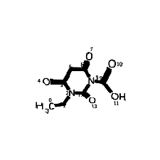 CCN1C(=O)CC(=O)N(C(=O)O)C1=O